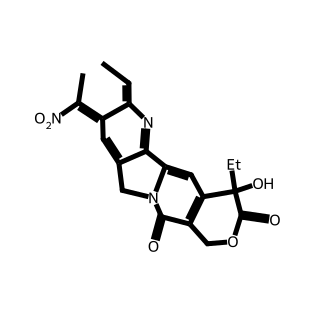 C/C=c1/nc2c(c/c1=C(/C)[N+](=O)[O-])Cn1c-2cc2c(c1=O)COC(=O)C2(O)CC